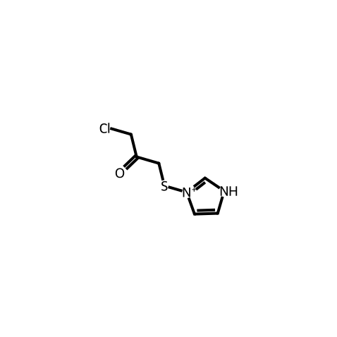 O=C(CCl)CS[n+]1cc[nH]c1